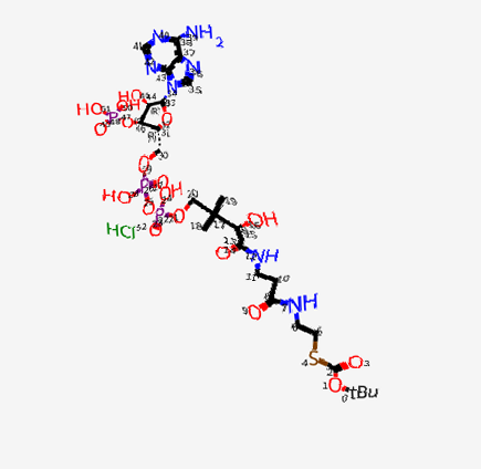 CC(C)(C)OC(=O)SCCNC(=O)CCNC(=O)[C@H](O)C(C)(C)COP(=O)(O)OP(=O)(O)OC[C@H]1O[C@@H](n2cnc3c(N)ncnc32)[C@H](O)[C@@H]1OP(=O)(O)O.Cl